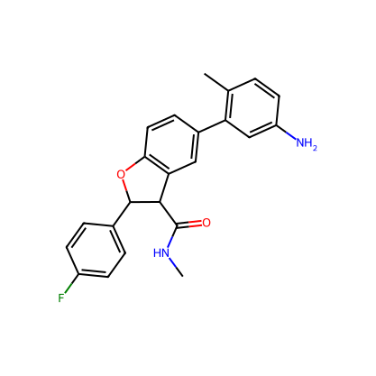 CNC(=O)C1c2cc(-c3cc(N)ccc3C)ccc2OC1c1ccc(F)cc1